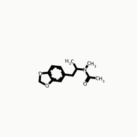 CC(=O)N(C)C(C)Cc1ccc2c(c1)OCO2